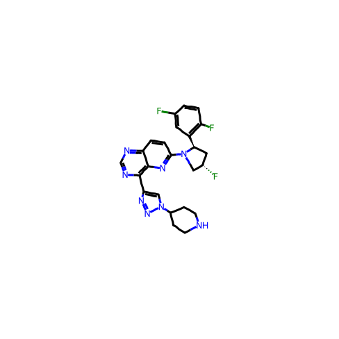 Fc1ccc(F)c([C@H]2C[C@H](F)CN2c2ccc3ncnc(-c4cn(C5CCNCC5)nn4)c3n2)c1